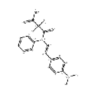 CCCC(=O)C(C)(CC)C(=O)N(N=Nc1ccc(N(C)C)cc1)c1ccccc1